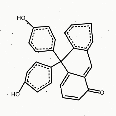 O=C1C=CC=C2C1=Cc1ccccc1C2(c1ccc(O)cc1)c1ccc(O)cc1